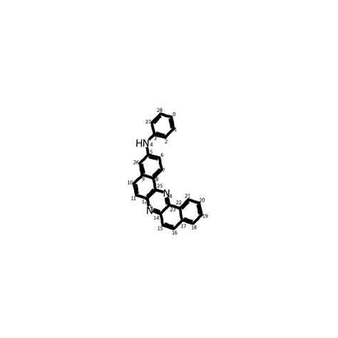 c1ccc(Nc2ccc3c(ccc4nc5ccc6ccccc6c5nc43)c2)cc1